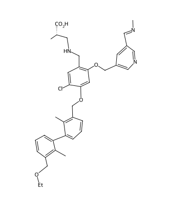 CCOCc1cccc(-c2cccc(COc3cc(OCc4cncc(/C=N/C)c4)c(CNC[C@H](C)C(=O)O)cc3Cl)c2C)c1C